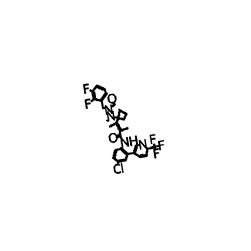 C/C(C(=O)Nc1ccc(Cl)cc1-c1ccc(C(F)(F)F)nc1)=C(/C)C1(N(C)N(C=O)Cc2cccc(F)c2F)CCC1